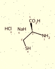 Cl.N[C@@H](CS)C(=O)O.[NaH]